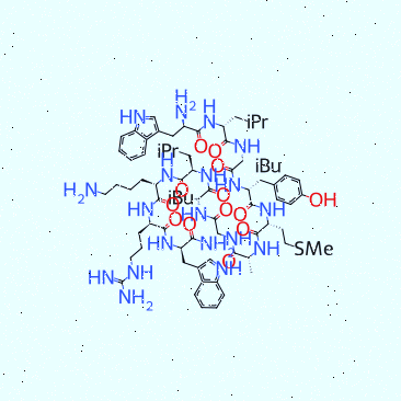 CC[C@@H](C)[C@@H](NC(=O)CNC(=O)[C@@H](C)NC(=O)[C@@H](CCSC)NC(=O)[C@@H](Cc1ccc(O)cc1)NC(=O)[C@H](NC(=O)[C@@H](CC(C)C)NC(=O)[C@H](N)Cc1c[nH]c2ccccc12)[C@H](C)CC)C(=O)N[C@H](CC(C)C)C(=O)N[C@H](CCCCN)C(=O)N[C@H](CCCNC(=N)N)C(=O)N[C@H](Cc1c[nH]c2ccccc12)C(N)=O